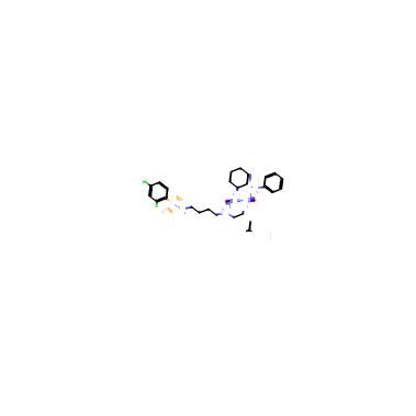 CC(C)C[C@H](CN(CCCCNS(=O)(=O)c1ccc(Cl)cc1Cl)C(=O)NC1CCCCC1)NC(=O)Nc1ccccc1